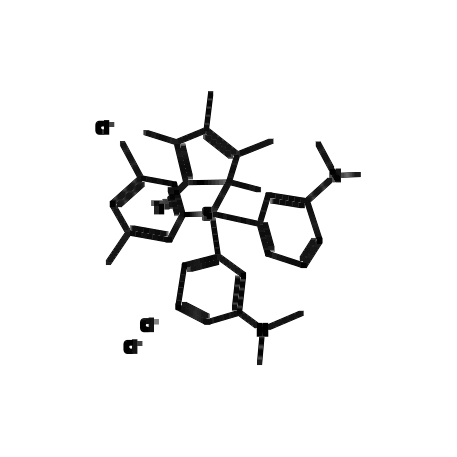 CC1=C(C)C(C)([Si](c2cc(C)cc(C)c2)(c2cccc(N(C)C)c2)c2cccc(N(C)C)c2)[C]([Ti+3])=C1C.[Cl-].[Cl-].[Cl-]